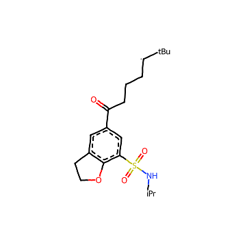 CC(C)NS(=O)(=O)c1cc(C(=O)CCC[CH]C(C)(C)C)cc2c1OCC2